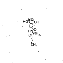 CCCCCC(=O)N(N)NC(=O)c1ccc(B(O)O)c(B(O)O)c1